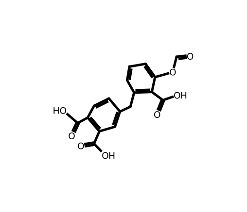 O=COc1cccc(Cc2ccc(C(=O)O)c(C(=O)O)c2)c1C(=O)O